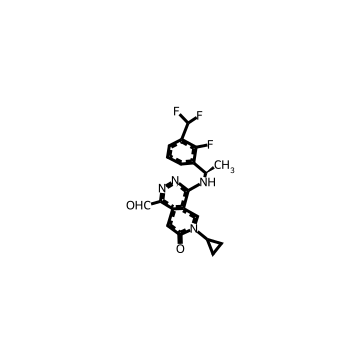 C[C@@H](Nc1nnc(C=O)c2cc(=O)n(C3CC3)cc12)c1cccc(C(F)F)c1F